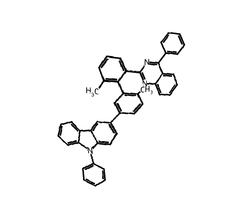 Cc1ccc(-c2ccc3c(c2)c2ccccc2n3-c2ccccc2)cc1-c1c(C)cccc1-c1nc(-c2ccccc2)c2ccccc2n1